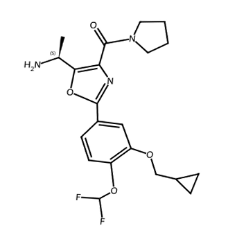 C[C@H](N)c1oc(-c2ccc(OC(F)F)c(OCC3CC3)c2)nc1C(=O)N1CCCC1